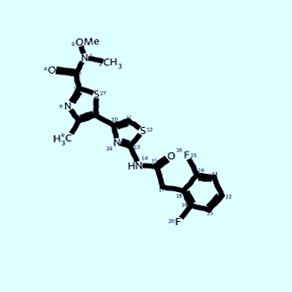 CON(C)C(=O)c1nc(C)c(-c2csc(NC(=O)Cc3c(F)cccc3F)n2)s1